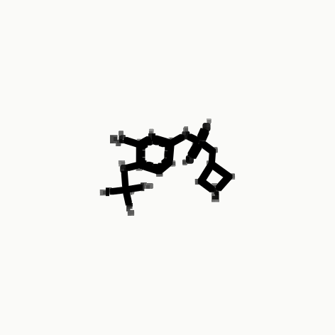 Cc1nc(OS(=O)(=O)CC2CNC2)ccc1OC(F)(F)F